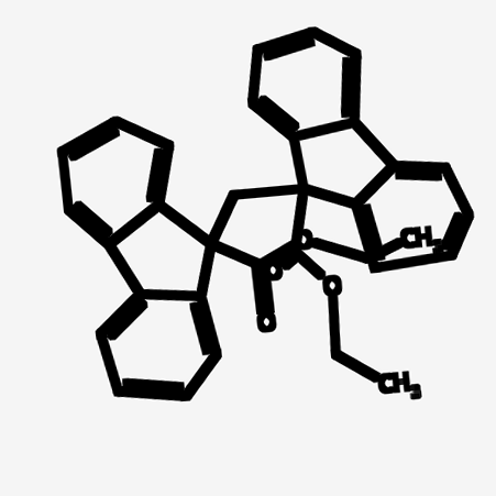 CCOC(=O)C1(CC2(C(=O)OCC)c3ccccc3-c3ccccc32)c2ccccc2-c2ccccc21